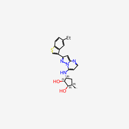 [CH2][C@@H]1C[C@@H](Nc2ccnc3cc(-c4csc5ccc(CC)cc45)nn23)[C@H](O)[C@@H]1O